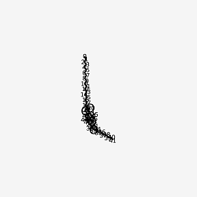 CCCCCCCCCCCCCCCCCCCC(=O)OC1CC(C)(C)N(OCC(C)(C)OCCCCCCCC)C(C)(C)C1